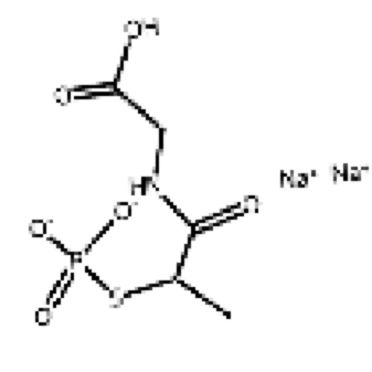 CC(SP(=O)([O-])[O-])C(=O)NCC(=O)O.[Na+].[Na+]